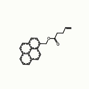 C=CCCC(=O)OCc1ccc2ccc3cccc4ccc1c2c34